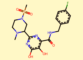 CN1CCN(S(C)(=O)=O)CC1c1nc(O)c(O)c(C(=O)NCc2ccc(F)cc2)n1